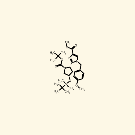 COC(=O)c1cn(Cc2ccc(OC)cc2)c([C@@H]2C[C@@H](O[Si](C)(C)C(C)(C)C)CN2C(=O)OC(C)(C)C)n1